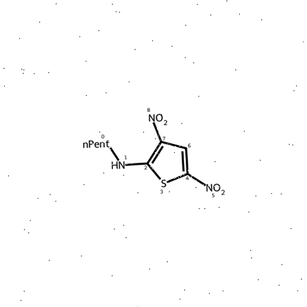 CCCCCNc1sc([N+](=O)[O-])cc1[N+](=O)[O-]